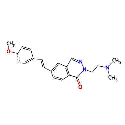 COc1ccc(C=Cc2ccc3c(=O)n(CCN(C)C)ncc3c2)cc1